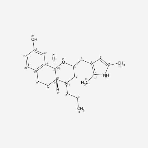 CCCN1CC(Cc2cc(C)[nH]c2C)O[C@@H]2c3cc(O)ccc3CC[C@H]21